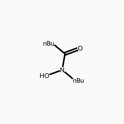 [CH2]CCCC(=O)N(O)CCCC